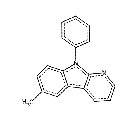 Cc1ccc2c(c1)c1cccnc1n2-c1ccccc1